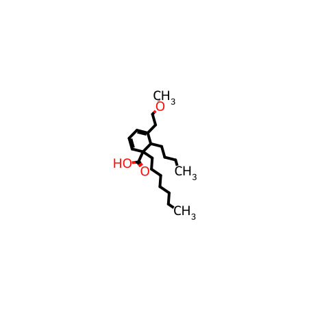 CCCCCCCC1(C(=O)O)C=CC=C(CCOC)C1CCCC